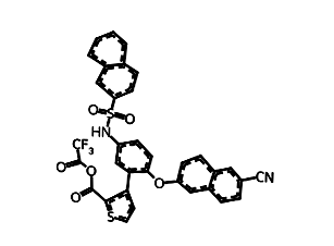 N#Cc1ccc2cc(Oc3ccc(NS(=O)(=O)c4ccc5ccccc5c4)cc3-c3ccsc3C(=O)OC(=O)C(F)(F)F)ccc2c1